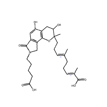 C/C(=C\CCC1(C)Oc2c(c(O)cc3c2CN(CCCCC(=O)O)C3=O)CC1O)CC/C=C(\C)C(=O)O